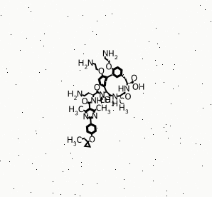 CCC1(Oc2ccc(-c3nc(C)c(C(=O)N[C@@H](CCN)C(=O)N(C)[C@@H]4C(=O)N[C@@H](C)C(=O)N[C@H](C(=O)O)Cc5ccc(OCCN)c(c5)-c5cc4ccc5OCCN)c(C)n3)cc2)CC1